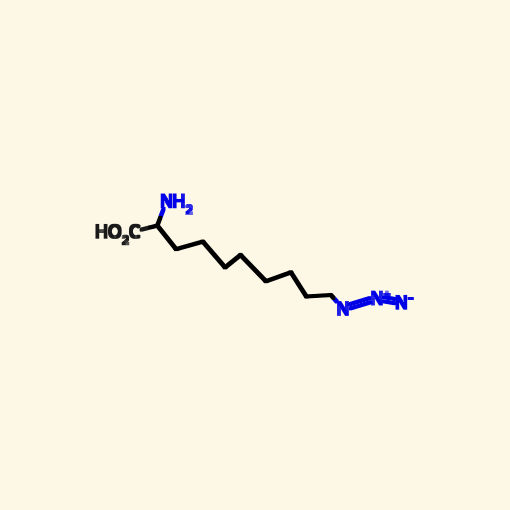 [N-]=[N+]=NCCCCCCCCC(N)C(=O)O